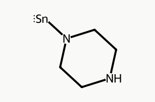 [Sn][N]1CCNCC1